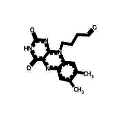 Cc1cc2nc3c(=O)[nH]c(=O)nc-3n(CCCC=O)c2cc1C